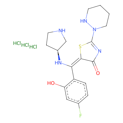 Cl.Cl.Cl.O=C1N=C(N2CCCCN2)S/C1=C(\N[C@H]1CCNC1)c1ccc(F)cc1O